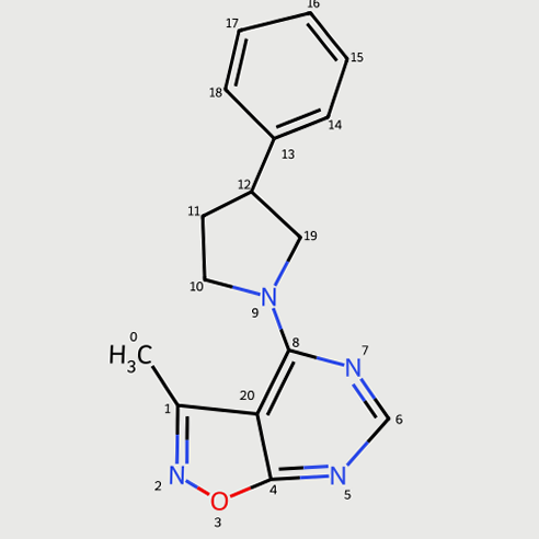 Cc1noc2ncnc(N3CCC(c4ccccc4)C3)c12